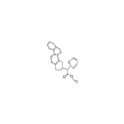 O=COC(=O)C(C1CCc2ccc3c(ccc4ccccc43)c2C1)C1C=CC=CS1